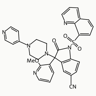 COc1ncccc1C1(N2CCN(c3ccncc3)CC2)C(=O)N(S(=O)(=O)c2cccc3cccnc23)c2ccc(C#N)cc21